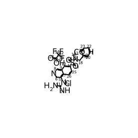 N=C(N)N(Cl)c1cncc2cc(S(=O)(=O)N(CC(=O)O)Cc3ccccc3)ccc12.O=C(O)C(F)(F)F